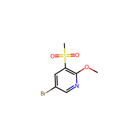 COc1ncc(Br)cc1S(C)(=O)=O